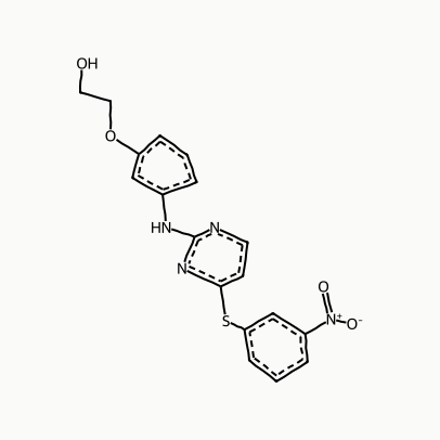 O=[N+]([O-])c1cccc(Sc2ccnc(Nc3cccc(OCCO)c3)n2)c1